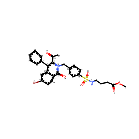 COC(=O)CCCNS(=O)(=O)c1ccc(Cn2c(C(C)=O)c(-c3ccccc3)c3cc(Br)ccc3c2=O)cc1